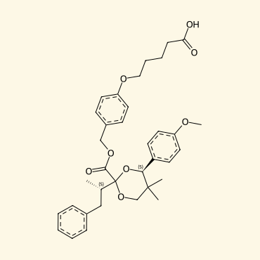 COc1ccc([C@@H]2OC(C(=O)OCc3ccc(OCCCCC(=O)O)cc3)([C@@H](C)Cc3ccccc3)OCC2(C)C)cc1